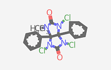 Cc1ccccc1C12N(C)C(=O)N(Cl)C1(c1ccccc1)N(Cl)C(=O)N2Cl